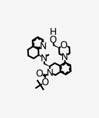 CN(C[C@H]1Cc2c(cccc2N2CCO[C@H](CO)C2)CN1C(=O)OC(C)(C)C)[C@H]1CCCc2cccnc21